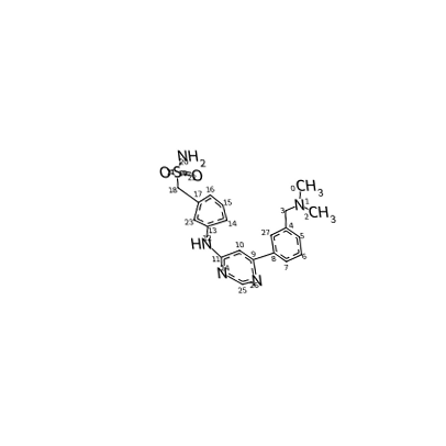 CN(C)Cc1cccc(-c2cc(Nc3cccc(CS(N)(=O)=O)c3)ncn2)c1